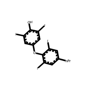 CCCc1cc(I)c(Oc2cc(I)c(O)c(I)c2)c(I)c1